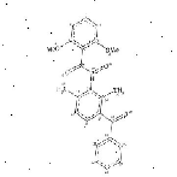 COc1cccc(OC)c1C(=O)[PH](=O)c1c(C)ccc(C(=O)c2ccccc2)c1C